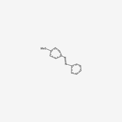 CSc1ccc(N=Nc2ccccc2)cc1